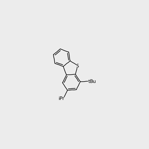 CC(C)c1cc(C(C)(C)C)c2sc3ccccc3c2c1